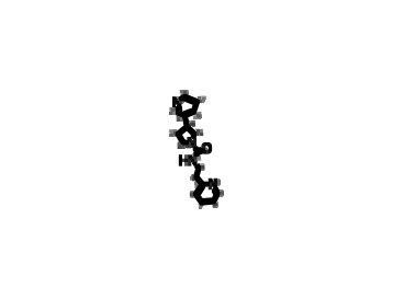 O=C(NCCc1ccccn1)N1CCC(c2cccnc2)C1